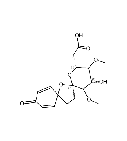 COC1[C@H](O)C(OC)[C@]2(CCC3(C=CC(=O)C=C3)O2)O[C@@H]1CC(=O)O